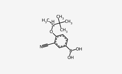 C[SiH](Oc1ccc(B(O)O)cc1C#N)C(C)(C)C